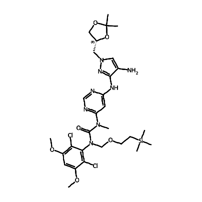 COc1cc(OC)c(Cl)c(N(COCC[Si](C)(C)C)C(=O)N(C)c2cc(Nc3nn(C[C@@H]4COC(C)(C)O4)cc3N)ncn2)c1Cl